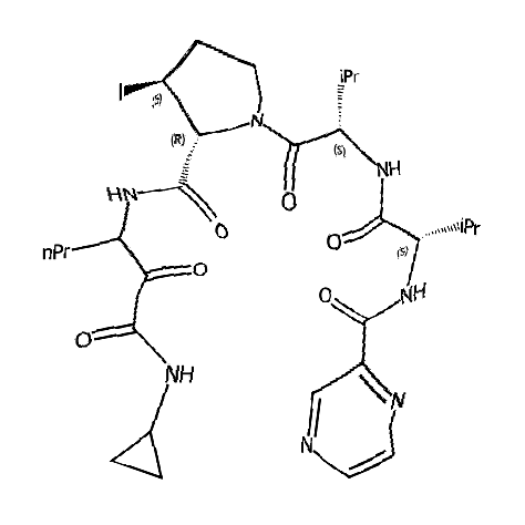 CCCC(NC(=O)[C@@H]1[C@@H](I)CCN1C(=O)[C@@H](NC(=O)[C@@H](NC(=O)c1cnccn1)C(C)C)C(C)C)C(=O)C(=O)NC1CC1